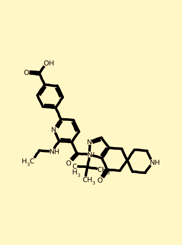 CCNc1nc(-c2ccc(C(=O)O)cc2)ccc1C(=O)[N+]1(C(C)(C)C)N=CC2=C1C(=O)CC1(CCNCC1)C2